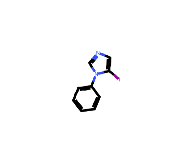 Ic1cncn1-c1ccccc1